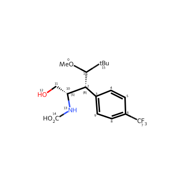 COC([C@H](c1ccc(C(F)(F)F)cc1)[C@@H](CO)NC(=O)O)C(C)(C)C